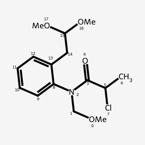 COCN(C(=O)C(C)Cl)c1ccccc1CC(OC)OC